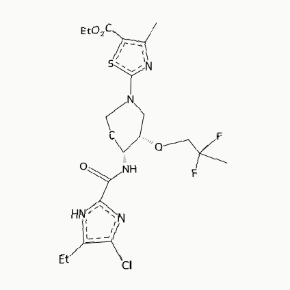 CCOC(=O)c1sc(N2CC[C@@H](NC(=O)c3nc(Cl)c(CC)[nH]3)[C@@H](OCC(C)(F)F)C2)nc1C